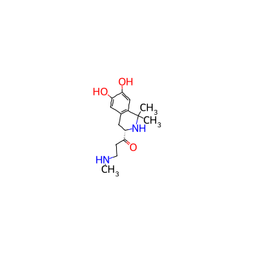 CNCCC(=O)[C@@H]1Cc2cc(O)c(O)cc2C(C)(C)N1